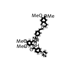 COc1cc2c(cc1OC)CN(CCc1ccc(-n3nnc(-c4cc(OC)c(OC)cc4NC(=O)c4ccc(-n5ccnc5)cc4)n3)cc1)CC2